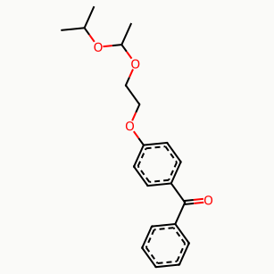 CC(C)OC(C)OCCOc1ccc(C(=O)c2ccccc2)cc1